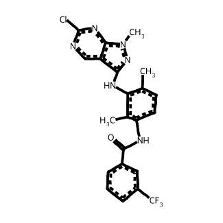 Cc1ccc(NC(=O)c2cccc(C(F)(F)F)c2)c(C)c1Nc1nn(C)c2nc(Cl)ncc12